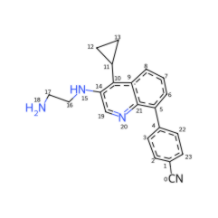 N#Cc1ccc(-c2cccc3c(C4CC4)c(NCCN)cnc23)cc1